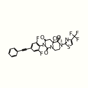 CC12CC(=O)N(c3c(F)cc(C#Cc4ccccc4)cc3F)C(=O)N1CCN(c1nc(C(F)(F)F)cs1)C2=O